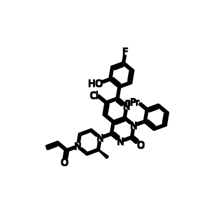 C=CC(=O)N1CCN(c2nc(=O)n(-c3ccccc3CCC)c3nc(-c4ccc(F)cc4O)c(Cl)cc23)[C@@H](C)C1